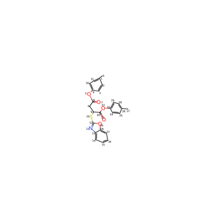 Cc1ccc(OC(=O)CC(Sc2nc3ccccc3o2)C(=O)Oc2ccc(C)cc2)cc1